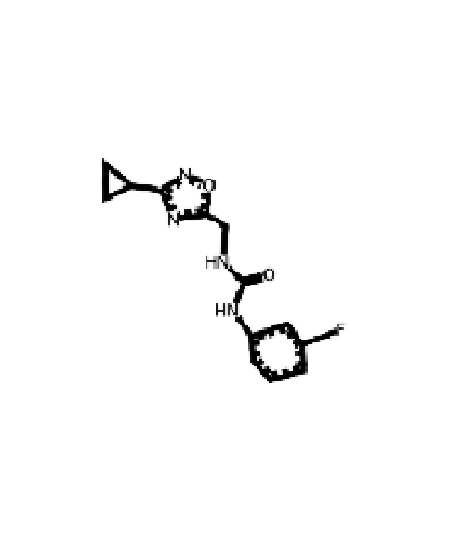 O=C(NCc1nc(C2CC2)no1)Nc1cccc(F)c1